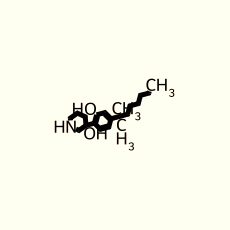 CCCCCCC(C)(C)c1ccc(C2(O)CCCNC2)c(O)c1